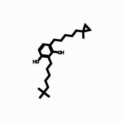 CC(C)(C)CCCCCc1c(O)ccc(CCCCCC2(C)CC2)c1O